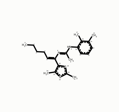 CCCC/C=C(\N=C(/C)Nc1cccc(C)c1C)c1sc(C)nc1C